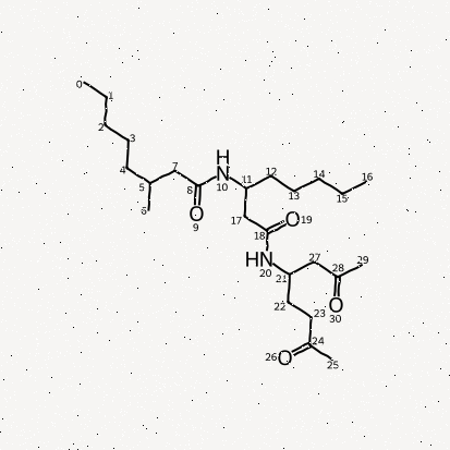 CCCCCC(C)CC(=O)NC(CCCCC)CC(=O)NC(CCC(C)=O)CC(C)=O